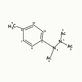 CC(=O)N(C(C)=O)N(C(C)=O)c1ccc(C)cc1